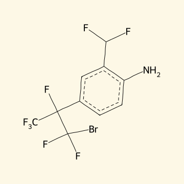 Nc1ccc(C(F)(C(F)(F)F)C(F)(F)Br)cc1C(F)F